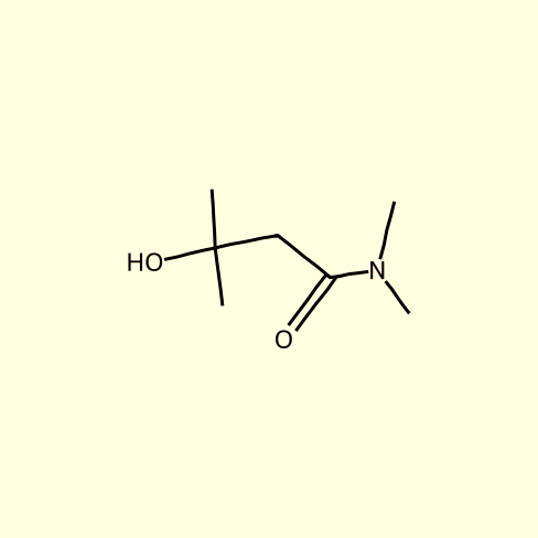 CN(C)C(=O)CC(C)(C)O